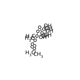 CC(C)Cc1cc2ccc3ccc(-c4ccc5c(c4)C(C)(C)c4cc(-c6ccc7c(c6)C(c6cc(CO)c(O)c(CO)c6)(c6cc(CO)c(O)c(CO)c6)c6ccccc6-7)ccc4-5)c4ccc(c1)c2c34